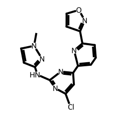 Cn1ccc(Nc2nc(Cl)cc(-c3cccc(-c4ccon4)n3)n2)n1